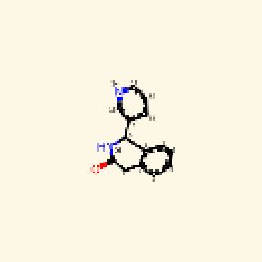 O=C1Cc2ccccc2C(c2cccnc2)N1